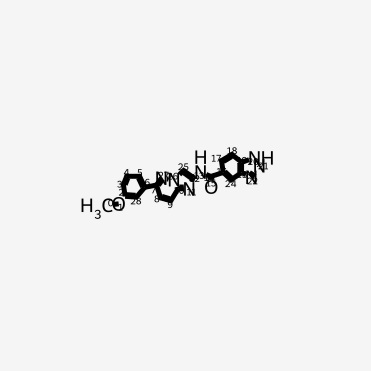 COc1cccc(-c2ccc3nc(NC(=O)c4ccc5[nH]nnc5c4)cn3n2)c1